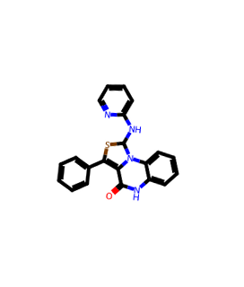 O=C1Nc2ccccc2N2C1=C(c1ccccc1)SC2Nc1ccccn1